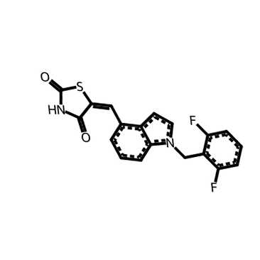 O=C1NC(=O)C(=Cc2cccc3c2ccn3Cc2c(F)cccc2F)S1